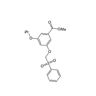 COC(=O)c1cc(OCS(=O)(=O)c2ccccc2)cc(OC(C)C)c1